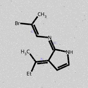 CC\C(C)=C1/C=CN/C1=N/C=C(\C)Br